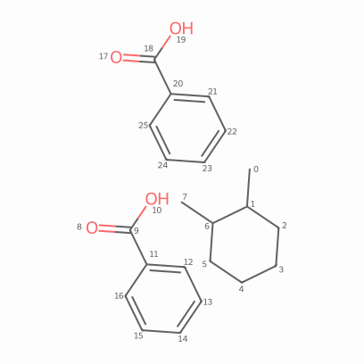 CC1CCCCC1C.O=C(O)c1ccccc1.O=C(O)c1ccccc1